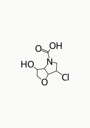 O=C(O)N1CC(Cl)C2OCC(O)C21